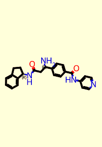 N[C@H](CC(=O)N[C@@H]1CCc2ccccc21)c1ccc(C(=O)Nc2ccncc2)cc1